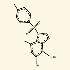 Cc1ccc(S(=O)(=O)n2ccc3c(C=O)c(C(C)C)cc(C)c32)cc1